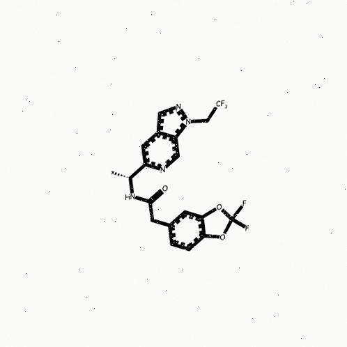 C[C@@H](NC(=O)Cc1ccc2c(c1)OC(F)(F)O2)c1cc2cnn(CC(F)(F)F)c2cn1